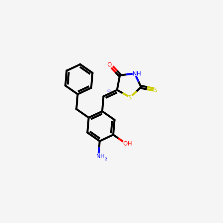 Nc1cc(Cc2ccccc2)c(/C=C2\SC(=S)NC2=O)cc1O